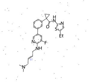 CCc1cnc(NC(=O)C2(c3cccc(-c4cnc(NC/C=C/CN(C)C)c(F)c4)c3)CC2)s1